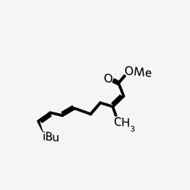 CC[C@H](C)/C=C\C=C\CC/C(C)=C\C(=O)OC